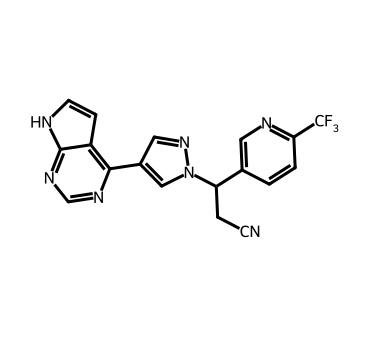 N#CCC(c1ccc(C(F)(F)F)nc1)n1cc(-c2ncnc3[nH]ccc23)cn1